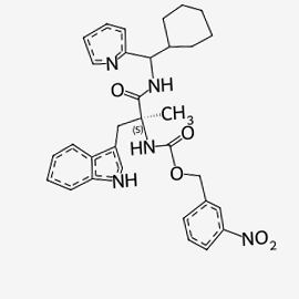 C[C@@](Cc1c[nH]c2ccccc12)(NC(=O)OCc1cccc([N+](=O)[O-])c1)C(=O)NC(c1ccccn1)C1CCCCC1